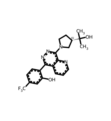 CC(C)(O)[C@H]1CCN(c2nnc(-c3ccc(C(F)(F)F)cc3O)c3cccnc23)C1